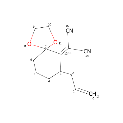 C=CCC1CCCC2(OCCO2)C1=C(C#N)C#N